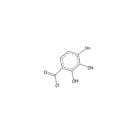 O=C(Cl)c1ccc(O)c(O)c1O